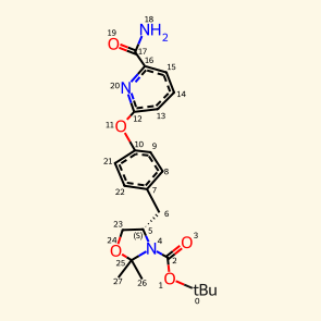 CC(C)(C)OC(=O)N1[C@@H](Cc2ccc(Oc3cccc(C(N)=O)n3)cc2)COC1(C)C